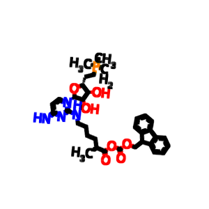 C=P(C)(C)CC[C@H]1O[C@@H](n2ccc(=N)nc2NCCCCC(C)C(=O)OC(=O)OCC2c3ccccc3-c3ccccc32)[C@H](O)[C@@H]1O